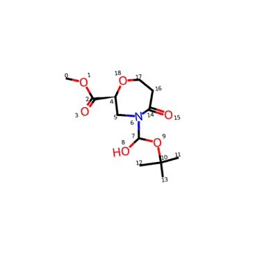 COC(=O)[C@@H]1CN(C(O)OC(C)(C)C)C(=O)CCO1